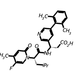 Cc1cc(=O)n([C@@H](CC(C)C)C(=O)N[C@@H](CC(=O)O)c2cncc(-c3c(C)cccc3C)c2)cc1F